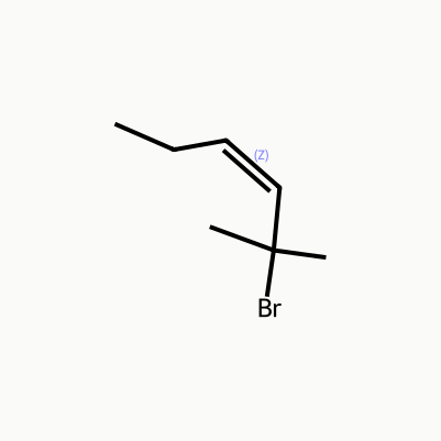 CC/C=C\C(C)(C)Br